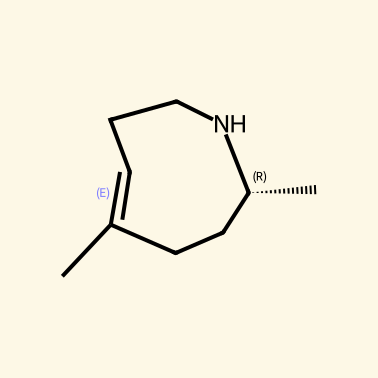 C/C1=C\CCN[C@H](C)CC1